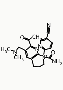 CC(=O)c1nc2c(cc1CN(C)C)CCC[N+]2(C(N)=O)c1ccc(C#N)cn1